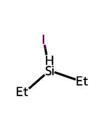 CC[SiH](I)CC